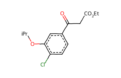 CCOC(=O)CC(=O)c1ccc(Cl)c(OC(C)C)c1